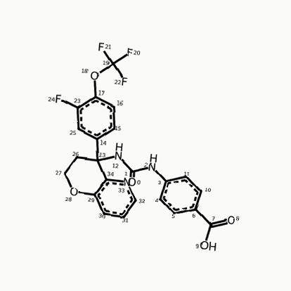 O=C(Nc1ccc(C(=O)O)cc1)NC1(c2ccc(OC(F)(F)F)c(F)c2)CCOc2cccnc21